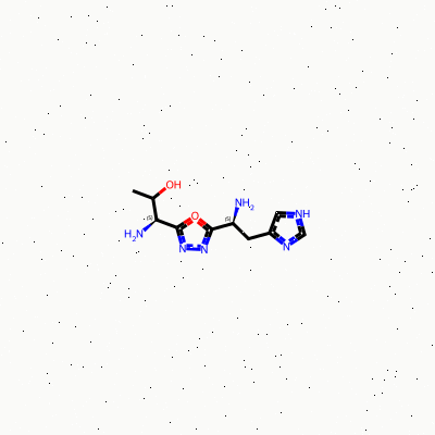 CC(O)[C@H](N)c1nnc([C@@H](N)Cc2c[nH]cn2)o1